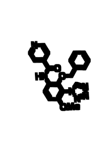 COc1ccc(NC(=O)c2ccncc2)c(OCc2ccccc2)c1-n1cnnn1